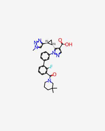 Cn1cc([C@H]2C[C@@H]2c2c(C(=O)O)cnn2-c2cccc(-c3cccc(C(=O)N4CCCC(C)(C)C4)c3F)c2)nn1